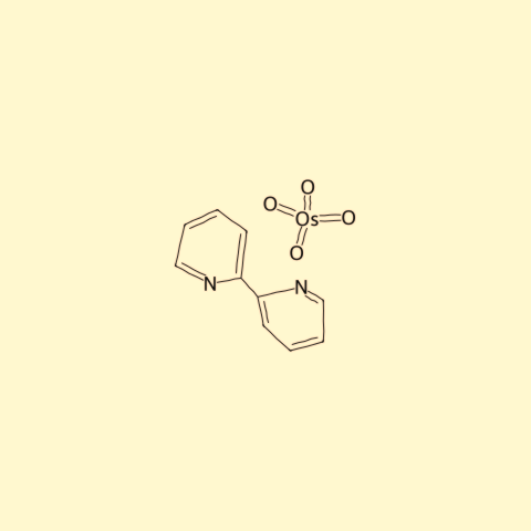 [O]=[Os](=[O])(=[O])=[O].c1ccc(-c2ccccn2)nc1